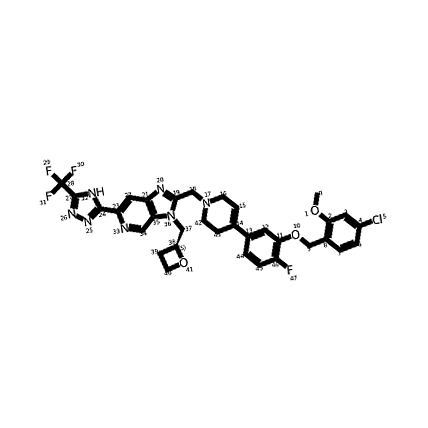 COc1cc(Cl)ccc1COc1cc(C2=CCN(Cc3nc4cc(-c5nnc(C(F)(F)F)[nH]5)ncc4n3C[C@@H]3CCO3)CC2)ccc1F